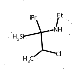 CCNC([SiH3])(C(C)C)C(C)Cl